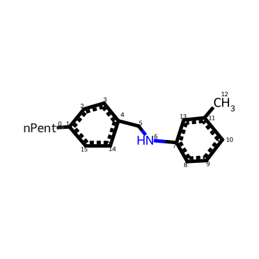 CCCCCc1ccc(CNc2cccc(C)c2)cc1